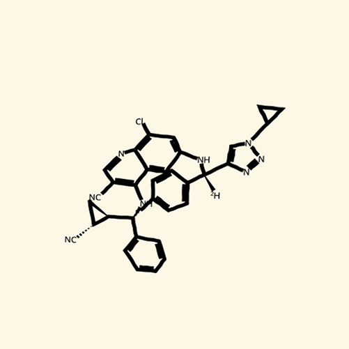 [2H][C@](Nc1cc(Cl)c2ncc(C#N)c(N[C@@H](c3ccccc3)[C@@H]3C[C@H]3C#N)c2c1)(c1ccc(F)cc1)c1cn(C2CC2)nn1